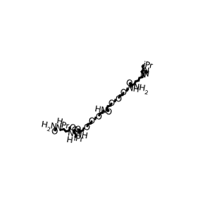 CC(C)Cc1cn(CCCCC(N)C(=O)NCCOCCOCCOCCC(=O)NCCOCCOCCOCCC(=O)NC(C(=O)NC(CCCNC(N)=O)C(=O)C(C)C)C(C)C)nn1